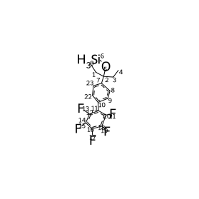 CCC(CC)(O[SiH3])c1ccc(-c2c(F)c(F)c(F)c(F)c2F)cc1